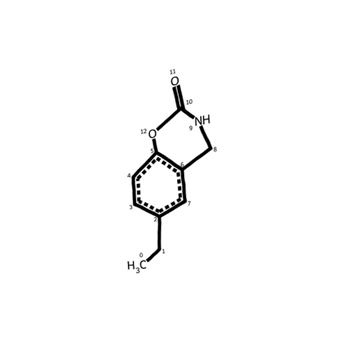 CCc1ccc2c(c1)CNC(=O)O2